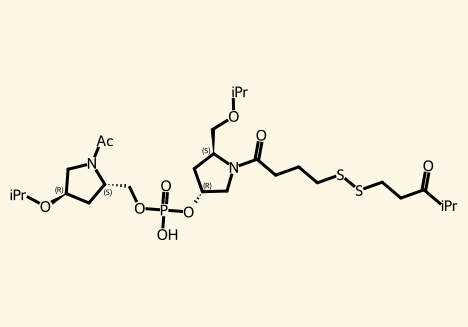 CC(=O)N1C[C@H](OC(C)C)C[C@H]1COP(=O)(O)O[C@@H]1C[C@@H](COC(C)C)N(C(=O)CCCSSCCC(=O)C(C)C)C1